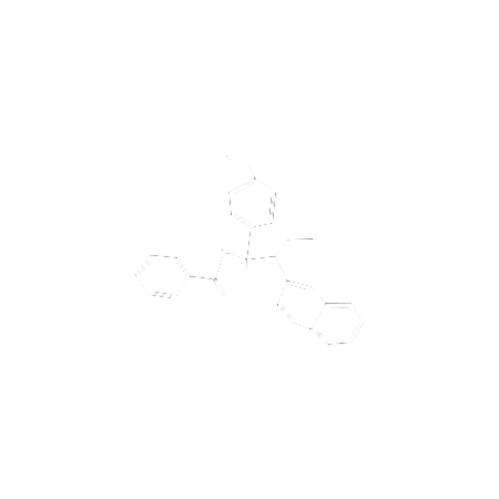 COc1ccc(C(NC(=O)c2ccccc2)(C(=O)O)C(CC(=O)O)c2ccc3ccccc3c2)cc1